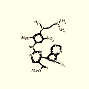 COC(=O)c1cnc(Nc2cc([N+](=O)[O-])c(N(C)CCN(C)C)cc2OC)nc1-c1cn(C)c2ncccc12